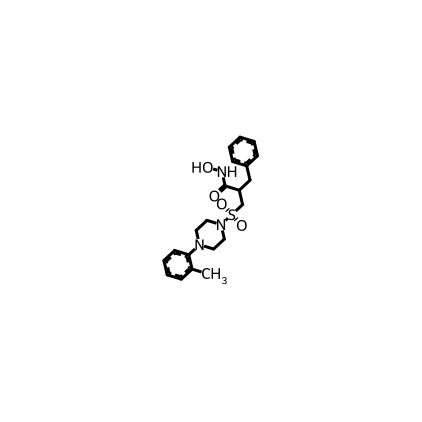 Cc1ccccc1N1CCN(S(=O)(=O)CC(Cc2ccccc2)C(=O)NO)CC1